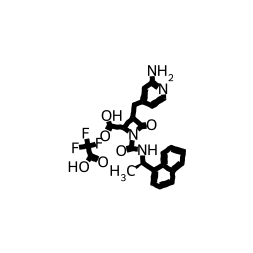 C[C@@H](NC(=O)N1C(=O)C(Cc2ccnc(N)c2)C1C(=O)O)c1cccc2ccccc12.O=C(O)C(F)(F)F